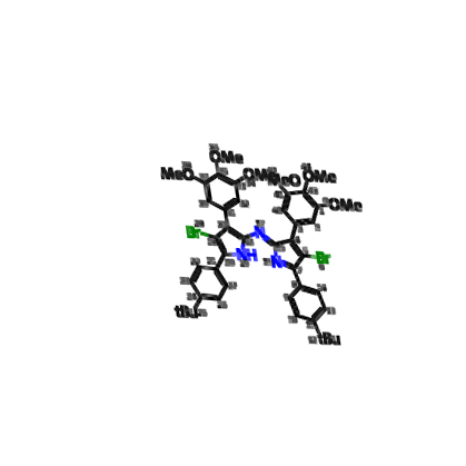 COc1cc(C2=C(Br)C(c3ccc(C(C)(C)C)cc3)=N/C2=N\c2[nH]c(-c3ccc(C(C)(C)C)cc3)c(Br)c2-c2cc(OC)c(OC)c(OC)c2)cc(OC)c1OC